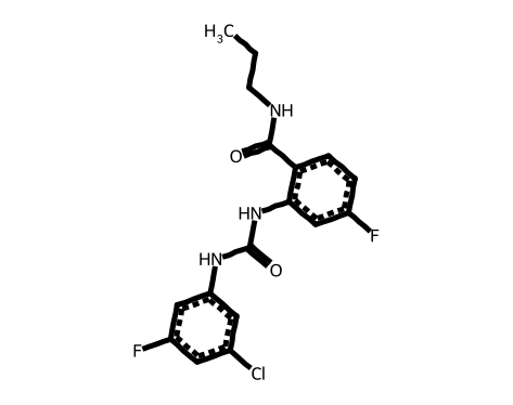 CCCNC(=O)c1ccc(F)cc1NC(=O)Nc1cc(F)cc(Cl)c1